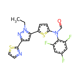 CCn1nc(-c2nccs2)cc1-c1ccc(N(C=O)c2c(F)cc(F)cc2F)s1